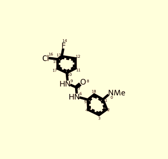 CNc1cccc(NC(=O)Nc2ccc(F)c(Cl)c2)c1